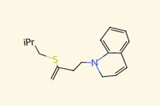 C=C(CCN1CC=Cc2ccccc21)SCC(C)C